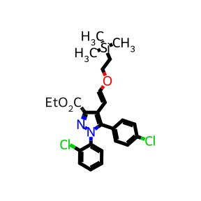 CCOC(=O)c1nn(-c2ccccc2Cl)c(-c2ccc(Cl)cc2)c1C=COCC[Si](C)(C)C